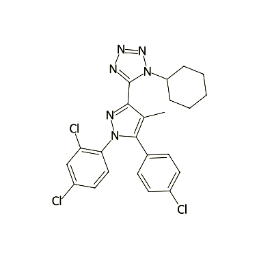 Cc1c(-c2nnnn2C2CCCCC2)nn(-c2ccc(Cl)cc2Cl)c1-c1ccc(Cl)cc1